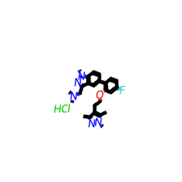 Cc1nn(C)c(C)c1CCOc1cc(F)ccc1-c1ccc2c(c1)c(CN(C)C)nn2C.Cl